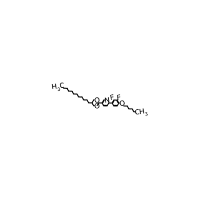 CCCCCCCCCCCCC1COC(c2ccc(-c3ccc(OCCCCCC)c(F)c3F)nc2)OC1